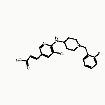 O=C(O)C=Cc1cnc(NC2CCN(Cc3ccccc3F)CC2)c(Cl)c1